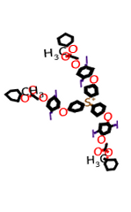 CC1(OC(=O)COc2cc(I)c(Oc3ccc([S+](c4ccc(Oc5cc(I)c(OCC(=O)OC6(C)CCCCC6)cc5I)cc4)c4ccc(Oc5cc(I)c(OCC(=O)OC6(C)CCCCC6)cc5I)cc4)cc3)cc2I)CCCCC1